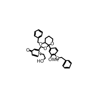 COc1cc(C2(OCc3cc(=O)ccn3CCO)OCCCC2OCc2ccccc2)ccc1OCc1ccccc1